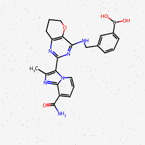 Cc1nc2c(C(N)=O)cccn2c1-c1nc2c(c(NCc3cccc(B(O)O)c3)n1)OCCC2